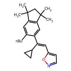 CCCCc1cc2c(cc1C(=Cc1ccno1)C1CC1)C(C)(C)CC2(C)C